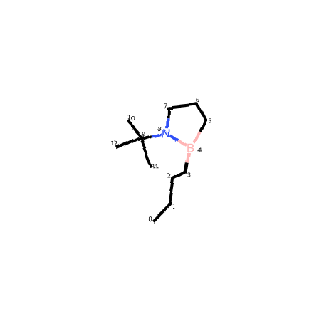 CCCCB1CCCN1C(C)(C)C